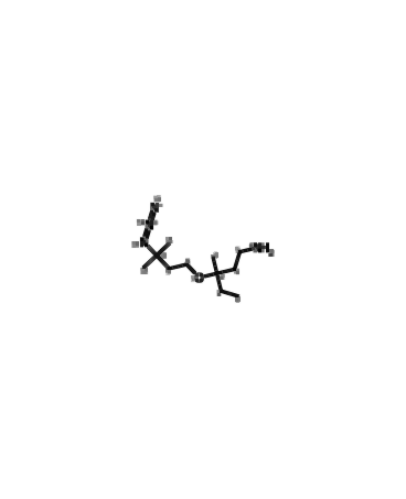 CCC(C)(CCN)OCCC(C)(C)N=[N+]=[N-]